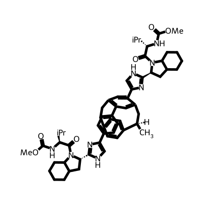 COC(=O)N[C@H](C(=O)N1C2CCCCC2C[C@H]1c1nc(-c2ccc(-c3cc4c(-c5c[nH]c([C@@H]6CC7CCCCC7N6C(=O)[C@@H](NC(=O)OC)C(C)C)n5)cc3CCc3ccc(cc3)[C@H](C)C4)cc2)c[nH]1)C(C)C